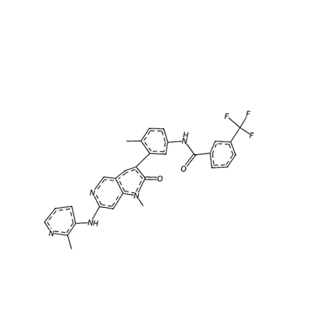 Cc1ccc(NC(=O)c2cccc(C(F)(F)F)c2)cc1-c1cc2cnc(Nc3cccnc3C)cc2n(C)c1=O